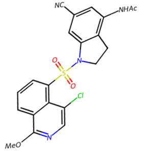 COc1ncc(Cl)c2c(S(=O)(=O)N3CCc4c(NC(C)=O)cc(C#N)cc43)cccc12